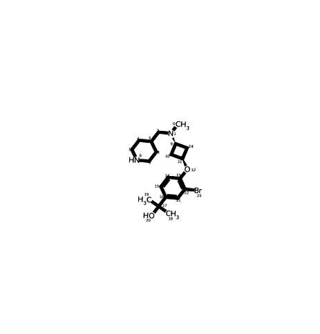 CN(CC1CCNCC1)[C@H]1C[C@H](Oc2ccc(C(C)(C)O)cc2Br)C1